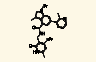 CCCc1cc(C)[nH]c(=O)c1CNC(=O)c1cc(-c2cccnc2C)cc2c1c(C)cn2C(C)C